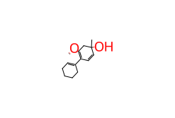 C=O.CC1(O)C=CC(C2=CCCCC2)=CC1